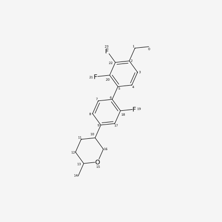 CCc1ccc(-c2ccc(C3CCC(C)OC3)cc2F)c(F)c1F